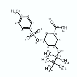 Cc1ccc(S(=O)(=O)O[C@H]2C[C@H](O[Si](C)(C)C(C)(C)C)C[C@@H](C(=O)O)C2)cc1